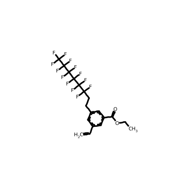 C=Cc1cc(CCC(F)(F)C(F)(F)C(F)(F)C(F)(F)C(F)(F)C(F)(F)F)cc(C(=O)OCC)c1